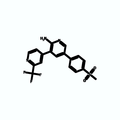 CS(=O)(=O)c1ccc(-c2cnc(N)c(-c3ccnc(C(F)(F)F)c3)c2)cc1